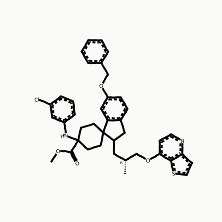 COC(=O)C1(Nc2cccc(Cl)c2)CCC2(CC1)c1cc(OCc3ccccc3)ccc1CC2C[C@@H](C)COc1ccnc2ccsc12